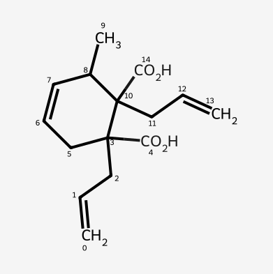 C=CCC1(C(=O)O)CC=CC(C)C1(CC=C)C(=O)O